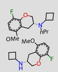 CCCN(C1CCC1)[C@H]1COc2c(F)ccc(OC)c2C1.COc1ccc(F)c2c1C[C@@H](NC1CCC1)CO2